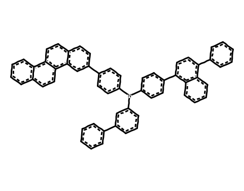 c1ccc(-c2cccc(N(c3ccc(-c4ccc5ccc6c7ccccc7ccc6c5c4)cc3)c3ccc(-c4ccc(-c5ccccc5)c5ccccc45)cc3)c2)cc1